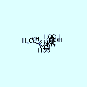 CC(C)=CCC/C(C)=C/COc1c(O)c(=O)oc2cc(O[C@@H]3O[C@H](CO)[C@H](O)[C@H](O)[C@H]3O)ccc12